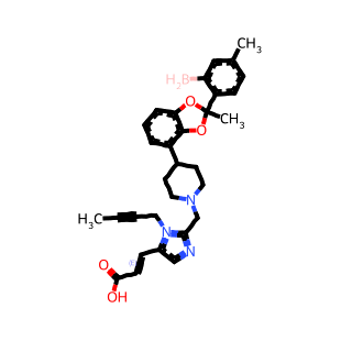 Bc1cc(C)ccc1C1(C)Oc2cccc(C3CCN(Cc4ncc(/C=C/C(=O)O)n4CC#CC)CC3)c2O1